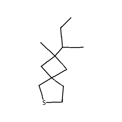 CCC(C)C1(C)CC2(CCSC2)C1